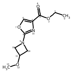 CCOC(=O)c1coc(N2CC(OC)C2)n1